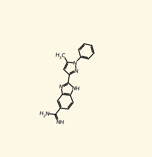 Cc1cc(-c2nc3cc(C(=N)N)ccc3[nH]2)nn1-c1ccccc1